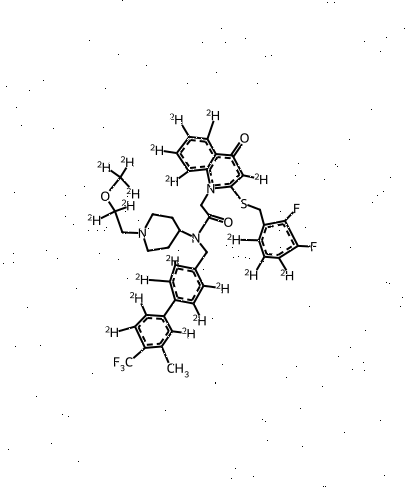 [2H]c1c([2H])c(F)c(F)c(CSc2c([2H])c(=O)c3c([2H])c([2H])c([2H])c([2H])c3n2CC(=O)N(Cc2c([2H])c([2H])c(-c3c([2H])c([2H])c(C(F)(F)F)c(C)c3[2H])c([2H])c2[2H])C2CCN(CC([2H])([2H])OC([2H])([2H])[2H])CC2)c1[2H]